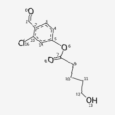 O=Cc1ccc(OC(=O)CCCCO)cc1Cl